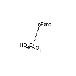 CCCCCC=CCC=CCC=CCC=CCCC(O)(C(=O)O)[N+](=O)[O-]